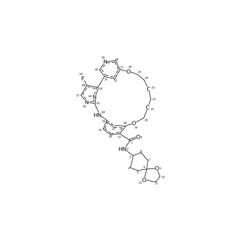 O=C(NC1CCC2(CC1)OCCO2)c1ccc2cc1OCCCCCCOc1cncc(c1)-c1nc(ncc1F)N2